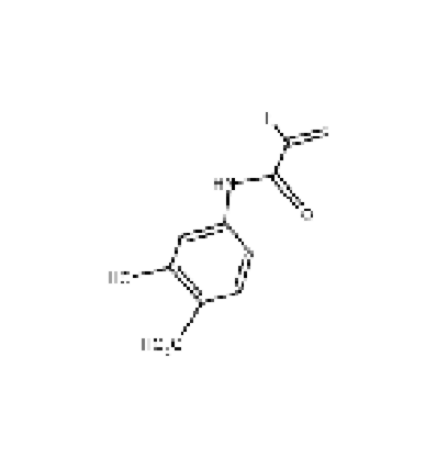 C=C(F)C(=O)Nc1ccc(C(=O)O)c(O)c1